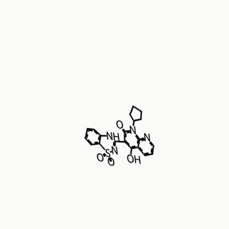 O=c1c(C2=NS(=O)(=O)c3ccccc3N2)c(O)c2cccnc2n1C1CCCC1